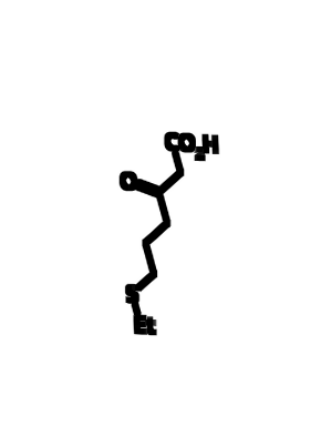 CCSCCCC(=O)CC(=O)O